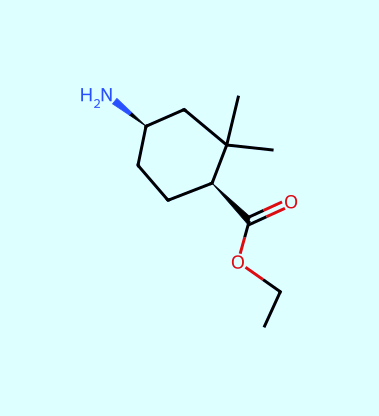 CCOC(=O)[C@H]1CC[C@@H](N)CC1(C)C